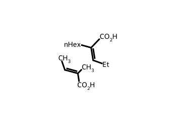 CC=C(C)C(=O)O.CCC=C(CCCCCC)C(=O)O